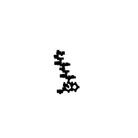 CN(C)CC1CCCN1C[13C](=O)[15NH][13CH2][13CH2][13C](=O)[15NH][13CH2][13CH2][13C](=O)O